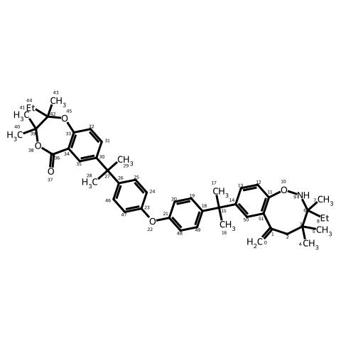 C=C1CC(C)(C)C(C)(CC)NOc2ccc(C(C)(C)c3ccc(Oc4ccc(C(C)(C)c5ccc6c(c5)C(=O)OC(C)(C)C(C)(CC)O6)cc4)cc3)cc21